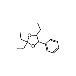 [CH2]CC1OC(CC)(CC)OC1c1ccccc1